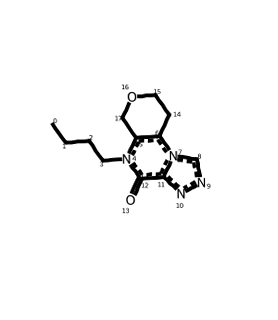 CCCCn1c2c(n3cnnc3c1=O)CCOC2